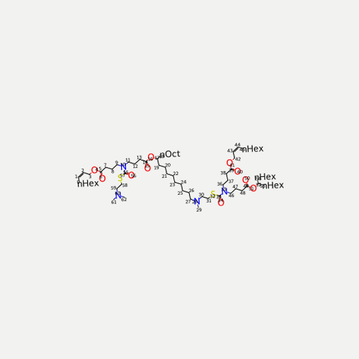 CCCCCC/C=C\COC(=O)CCCN(CCCC(=O)OC(CCCCCCCC)CCCCCCCCCN(C)CCSC(=O)N(CCCC(=O)OC/C=C\CCCCCC)CCCC(=O)OC(CCCCCC)CCCCCC)C(=O)SCCN(C)C